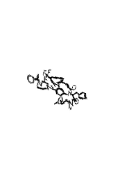 COCCN(C)C(=O)C(Cc1ccccc1)N(Cc1ccc(N2CCN(C(C)=O)CC2)cc1)C(=O)C=Cc1ccc(C(F)(F)F)cn1